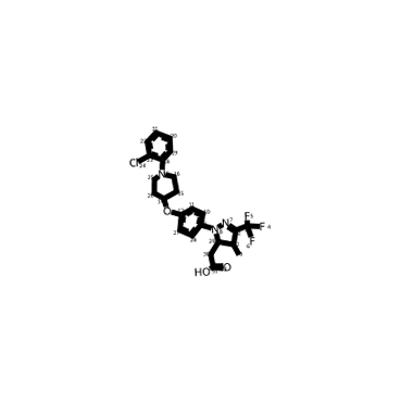 CC1C(C(F)(F)F)=NN(c2ccc(OC3CCN(c4ccccc4Cl)CC3)cc2)C1CC(=O)O